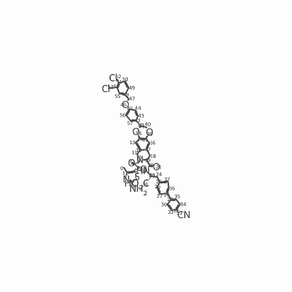 Cc1nc(N)sc1S(=O)(=O)N1Cc2cc3c(cc2CC1C(=O)N[C@H](Cc1ccc(-c2ccc(C#N)cc2)cc1)C(=O)O)OC[C@H](c1ccc(OCc2ccc(Cl)c(Cl)c2)cc1)O3